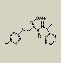 CON=C(COc1ccc(F)cc1)C(=O)NC(C)c1ccccc1